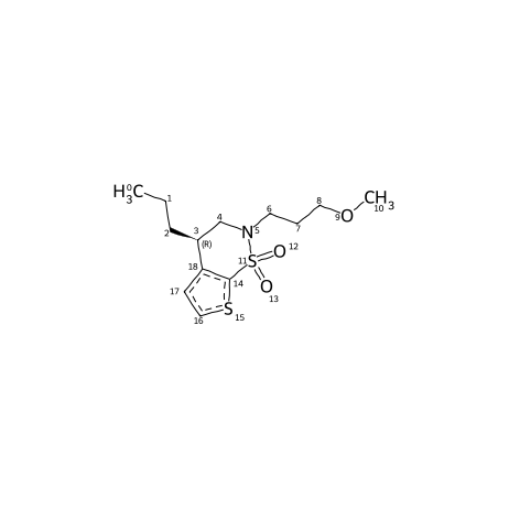 CCC[C@H]1CN(CCCOC)S(=O)(=O)c2sccc21